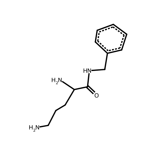 NCCCC(N)C(=O)NCc1ccccc1